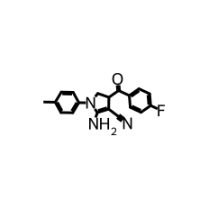 Cc1ccc(N2CC(C(=O)c3ccc(F)cc3)C(C#N)=C2N)cc1